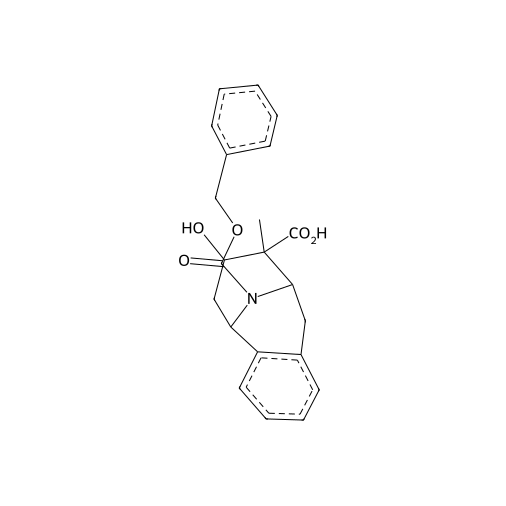 CC1(C(=O)O)C(O)CC2c3ccccc3CC1N2C(=O)OCc1ccccc1